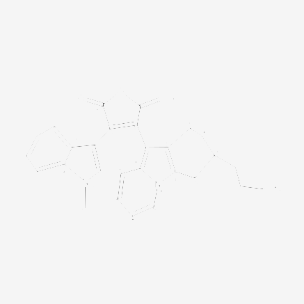 CC(=O)OCCC1CCc2c(C3=C(c4cn(C)c5ccccc45)C(=O)OC3=O)c3ccccn3c2C1